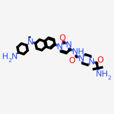 CN(C1CCc2cc(-n3ccc(NC(=O)N4CCN(C(=O)C(C)(C)N)CC4)nc3=O)ccc2C1)[C@H]1CC[C@H](N)CC1